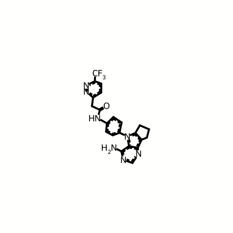 Nc1ncnc2c3c(n(-c4ccc(NC(=O)Cc5ccc(C(F)(F)F)nn5)cc4)c12)CCC3